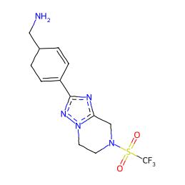 NCC1C=CC(c2nc3n(n2)CCN(S(=O)(=O)C(F)(F)F)C3)=CC1